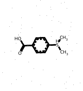 C[SH](C)c1ccc(C(=O)O)cc1